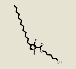 CCCCCCCCCCCCCc1c[nH]c(C(=O)OCCCCCO)c1F